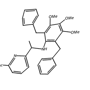 COc1c(Cc2ccccc2)c(NC(C)c2cccc(C(C)=O)n2)c(Cc2ccccc2)c(OC)c1OC